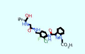 CC(C)[C@H](CO)NCC(=O)NCc1ccc(NC(=O)c2nn(CC(=O)O)c3ccccc23)c(Cl)c1F